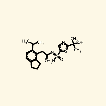 CC(C)c1ccc2c(c1CC(=O)N=S(N)(=O)c1cnc(C(C)(C)O)s1)CCC2